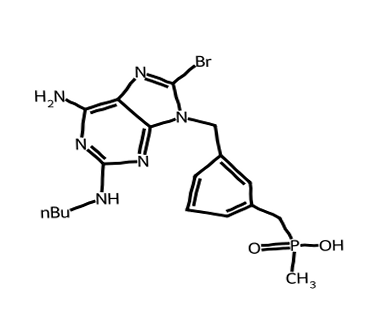 CCCCNc1nc(N)c2nc(Br)n(Cc3cccc(CP(C)(=O)O)c3)c2n1